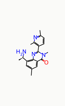 Cc1cc([C@@H](C)N)c2nc(-c3ccc(C)nc3C)n(C)c(=O)c2c1